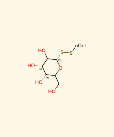 CCCCCCCCSS[C@@H]1OC(CO)[C@H](O)[C@H](O)C1O